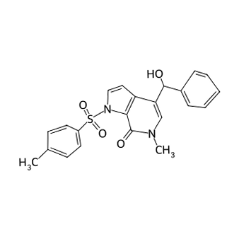 Cc1ccc(S(=O)(=O)n2ccc3c(C(O)c4ccccc4)cn(C)c(=O)c32)cc1